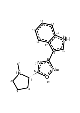 CN1CCC[C@H]1c1nc(-c2c[nH]c3ccccc23)no1